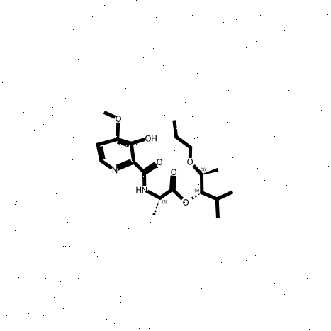 CCCO[C@@H](C)[C@@H](OC(=O)[C@H](C)NC(=O)c1nccc(OC)c1O)C(C)C